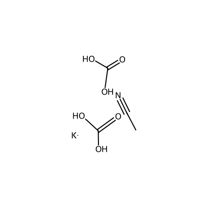 CC#N.O=C(O)O.O=C(O)O.[K]